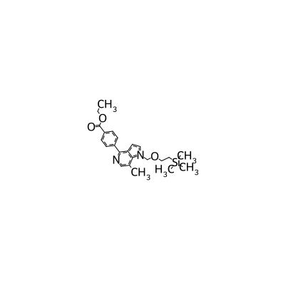 CCOC(=O)c1ccc(-c2ncc(C)c3c2ccn3COCC[Si](C)(C)C)cc1